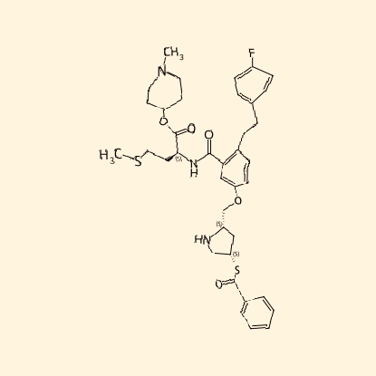 CSCC[C@H](NC(=O)c1cc(OC[C@@H]2C[C@H](SC(=O)c3ccccc3)CN2)ccc1CCc1ccc(F)cc1)C(=O)OC1CCN(C)CC1